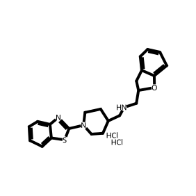 Cl.Cl.c1ccc2c(c1)CC(CNCC1CCN(c3nc4ccccc4s3)CC1)O2